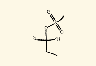 [2H]C([2H])(CC)OS(C)(=O)=O